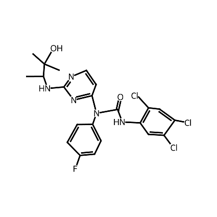 CC(Nc1nccc(N(C(=O)Nc2cc(Cl)c(Cl)cc2Cl)c2ccc(F)cc2)n1)C(C)(C)O